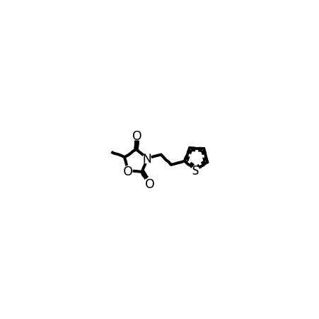 CC1OC(=O)N(CCc2cccs2)C1=O